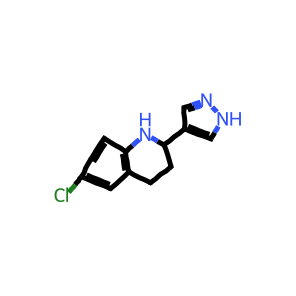 Clc1ccc2c(c1)CCC(c1cn[nH]c1)N2